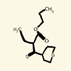 CCCOC(=O)C(CC)C(=O)C1CCOCC1